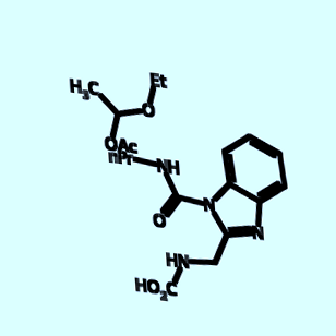 CCCNC(=O)n1c(CNC(=O)O)nc2ccccc21.CCOC(C)OC(C)=O